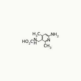 Cc1cc(N)nc(C)c1CNC(=O)O